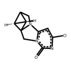 O=c1nc(Cl)cc2n1CC13[C@H]4C(CN21)[C@@H]43